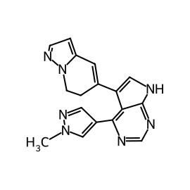 Cn1cc(-c2ncnc3[nH]cc(C4=Cc5ccnn5CC4)c23)cn1